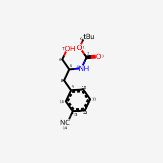 CC(C)(C)OC(=O)NC(CO)Cc1cccc(C#N)c1